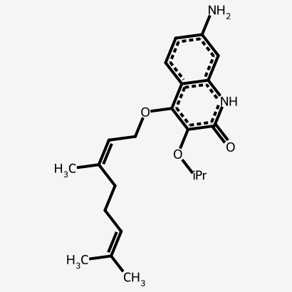 CC(C)=CCCC(C)=CCOc1c(OC(C)C)c(=O)[nH]c2cc(N)ccc12